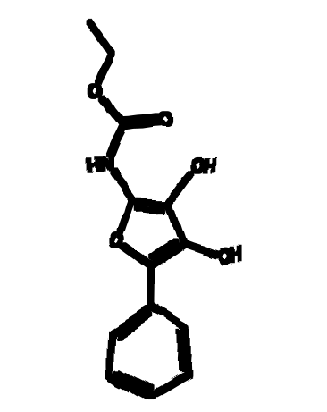 CCOC(=O)Nc1oc(-c2ccccc2)c(O)c1O